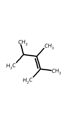 [CH2]C(C)=C(C)C(C)C